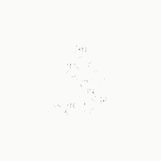 COC(=O)c1cc(C)nc(-c2cnn(C)c2OCCC[C@@H](C)CNc2c(N)ccc3c2CCN(C(=O)OC(C)(C)C)C3)c1